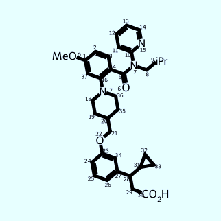 COc1ccc(C(=O)N(CC(C)C)c2ccccn2)c(N2CCC(COc3cccc(C(CC(=O)O)C4CC4)c3)CC2)c1